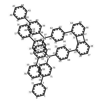 c1ccc(-c2ccc(N(c3ccc(-c4ccccc4)cc3)c3ccc(-c4cccc5c4-c4c(-c6ccc(N(c7ccc(-c8ccccc8)cc7)c7ccc(-c8ccccc8)cc7)cc6)cccc4-5)cc3)cc2)cc1